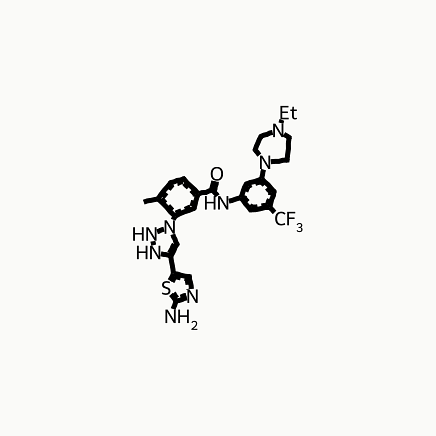 CCN1CCN(c2cc(NC(=O)c3ccc(C)c(N4C=C(c5cnc(N)s5)NN4)c3)cc(C(F)(F)F)c2)CC1